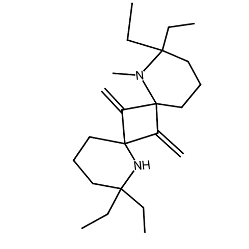 C=C1C2(CCCC(CC)(CC)N2)C(=C)C12CCCC(CC)(CC)N2C